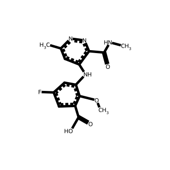 CNC(=O)c1nnc(C)cc1Nc1cc(F)cc(C(=O)O)c1OC